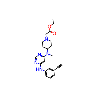 C#Cc1cccc(Nc2cc(N(C)C3CCN(CC(=O)OCC)CC3)ncn2)c1